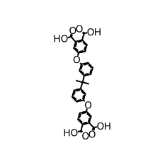 CC(C)(c1cccc(Oc2ccc(C(=O)O)c(C(=O)O)c2)c1)c1cccc(Oc2ccc(C(=O)O)c(C(=O)O)c2)c1